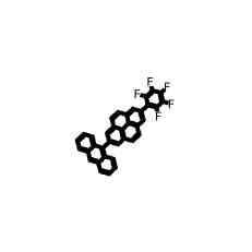 Fc1c(F)c(F)c(-c2cc3ccc4cc(-c5c6ccccc6cc6ccccc56)cc5ccc(c2)c3c45)c(F)c1F